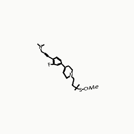 COSC(C)(C)CCN1CC=C(c2ccc(C#CCN(C)C)c(F)c2)CC1